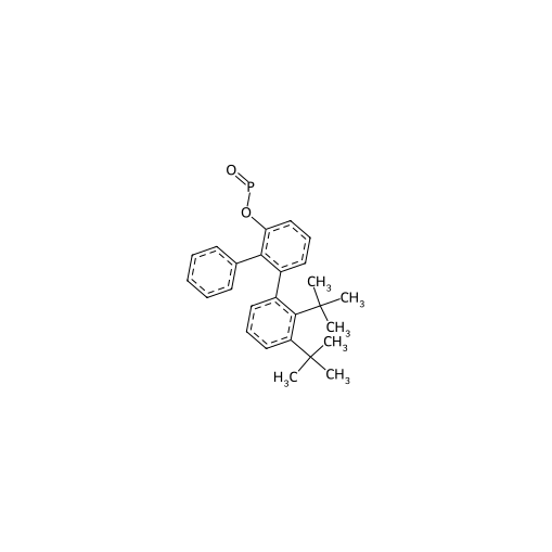 CC(C)(C)c1cccc(-c2cccc(OP=O)c2-c2ccccc2)c1C(C)(C)C